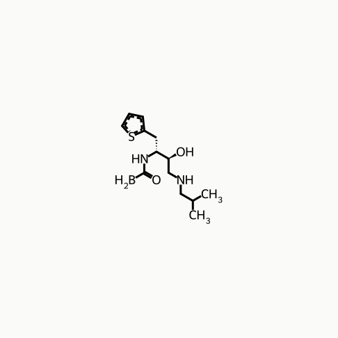 BC(=O)N[C@H](Cc1cccs1)[C@@H](O)CNCC(C)C